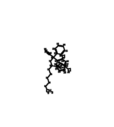 CCCCCCC(CC(C#N)(c1ccccc1)c1ccc(Cl)cc1Cl)n1ccnc1